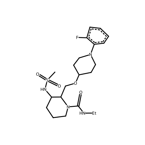 CCNC(=O)N1CCCC(NS(C)(=O)=O)C1COC1CCN(c2ccccc2F)CC1